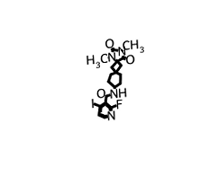 CN1C(=O)N(C)C2(CC3(CCC(NC(=O)c4c(I)ccnc4F)CC3)C2)C1=O